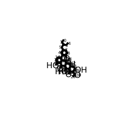 CCC(CC)Cc1ccc(OC)c(-c2ccc(O)c3c2C[C@H]2C[C@H]4CC(O)=C(C(C)=O)C(=O)[C@@]4(O)C(O)=C2C3=O)c1